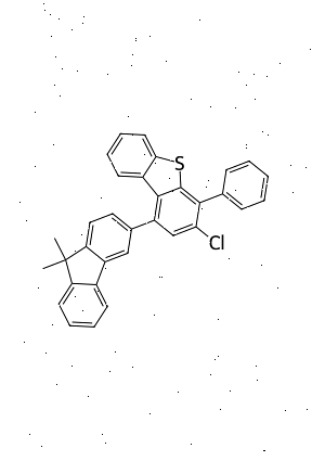 CC1(C)c2ccccc2-c2cc(-c3cc(Cl)c(-c4ccccc4)c4sc5ccccc5c34)ccc21